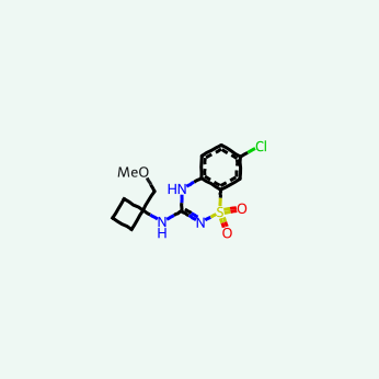 COCC1(NC2=NS(=O)(=O)c3cc(Cl)ccc3N2)CCC1